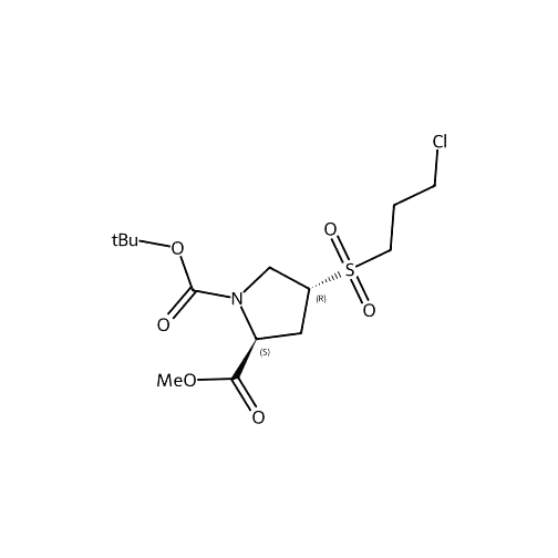 COC(=O)[C@@H]1C[C@@H](S(=O)(=O)CCCCl)CN1C(=O)OC(C)(C)C